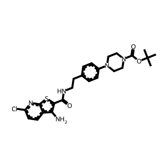 CC(C)(C)OC(=O)N1CCN(c2ccc(CCNC(=O)c3sc4nc(Cl)ccc4c3N)cc2)CC1